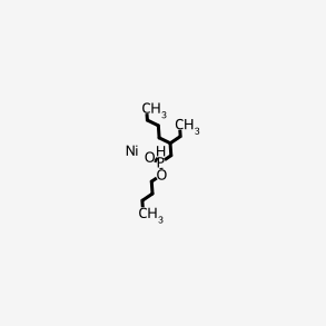 CCCCO[PH](=O)CC(CC)CCCC.[Ni]